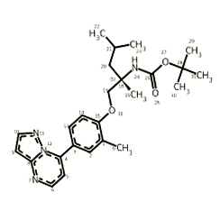 Cc1cc(-c2ccnc3ccnn23)ccc1OC[C@](C)(CC(C)C)NC(=O)OC(C)(C)C